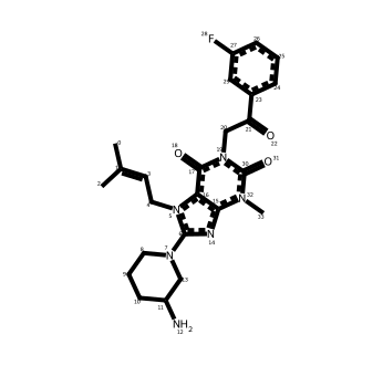 CC(C)=CCn1c(N2CCCC(N)C2)nc2c1c(=O)n(CC(=O)c1cccc(F)c1)c(=O)n2C